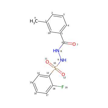 Cc1cccc(C(=O)NNS(=O)(=O)c2ccccc2F)c1